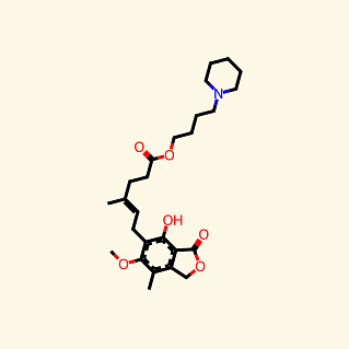 COc1c(C)c2c(c(O)c1C/C=C(\C)CCC(=O)OCCCCN1CCCCC1)C(=O)OC2